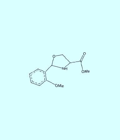 COC(=O)C1COC(c2ccccc2OC)N1